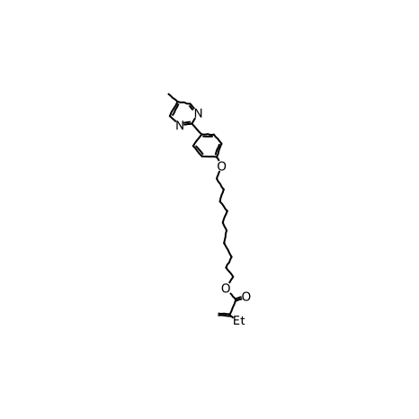 C=C(CC)C(=O)OCCCCCCCCCCOc1ccc(-c2ncc(C)cn2)cc1